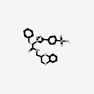 NS(=O)(=O)c1ccc(-c2cn([C@@H](Cc3ccccc3)C(=O)NCC3COc4ccccc4O3)nn2)cc1